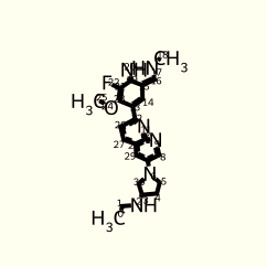 CCNC1CCN(c2cnc3nc(C4=C/C(=C/NC)C(=N)C(F)=C4OC)ccc3c2)C1